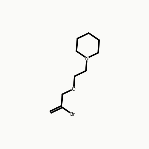 C=C(Br)COCCN1CCCCC1